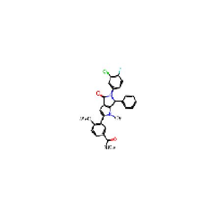 CNC(=O)c1ccc(OC)c(-c2cc3c(n2C(C)C)C(c2ccccc2)N(c2ccc(F)c(Cl)c2)C3=O)c1